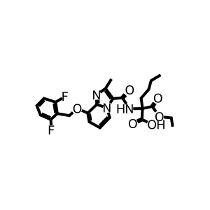 CCCCC(NC(=O)c1c(C)nc2c(OCc3c(F)cccc3F)cccn12)(C(=O)O)C(=O)OCC